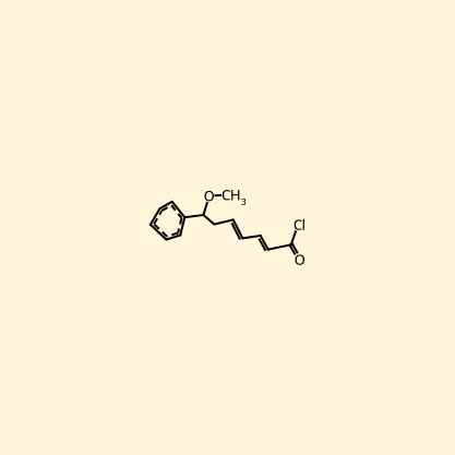 COC(C/C=C/C=C/C(=O)Cl)c1ccccc1